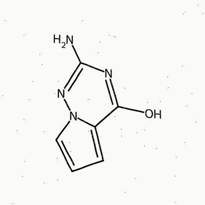 Nc1nc(O)c2cccn2n1